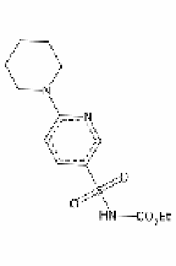 CCOC(=O)NS(=O)(=O)c1ccc(N2CCCCC2)nc1